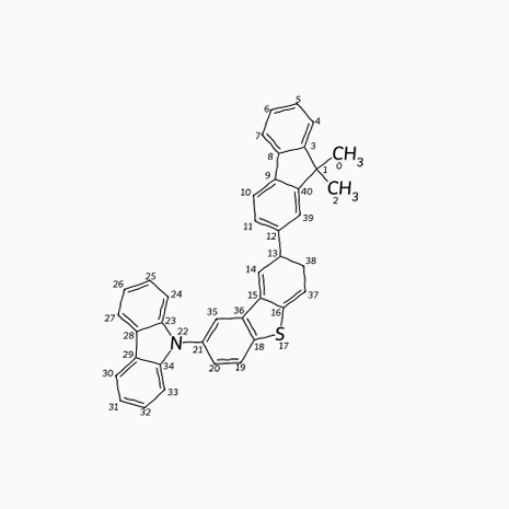 CC1(C)c2ccccc2-c2ccc(C3C=c4c(sc5ccc(-n6c7ccccc7c7ccccc76)cc45)=CC3)cc21